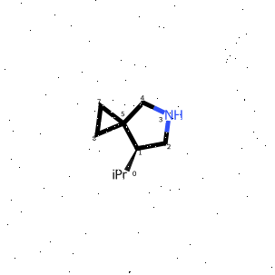 CC(C)[C@@H]1CNCC12CC2